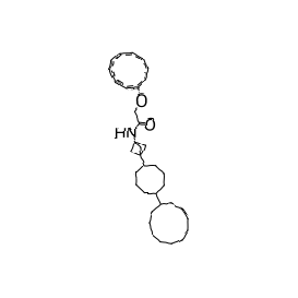 O=C(COc1ccccccccc1)NC12CC(C3CCCC(C4CCCCCCCCCC4)CCC3)(C1)C2